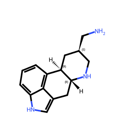 NC[C@H]1CN[C@@H]2Cc3c[nH]c4cccc(c34)[C@H]2C1